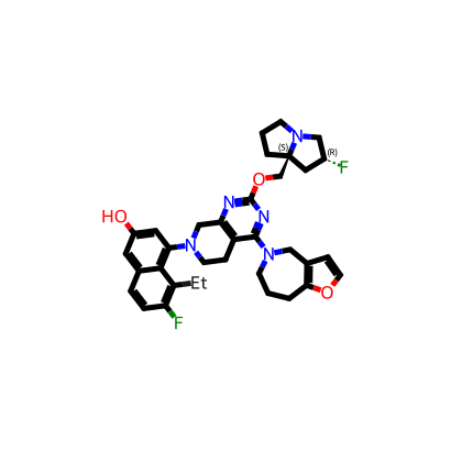 CCc1c(F)ccc2cc(O)cc(N3CCc4c(nc(OC[C@@]56CCCN5C[C@H](F)C6)nc4N4CCCc5occc5C4)C3)c12